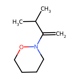 C=C(C(C)C)N1CCCCO1